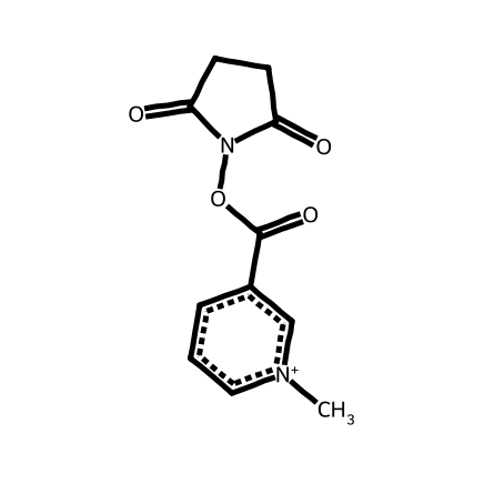 C[n+]1cccc(C(=O)ON2C(=O)CCC2=O)c1